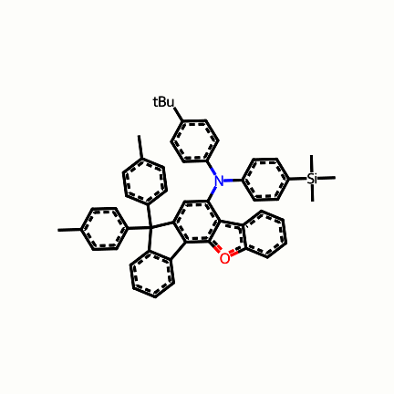 Cc1ccc(C2(c3ccc(C)cc3)c3ccccc3-c3c2cc(N(c2ccc(C(C)(C)C)cc2)c2ccc([Si](C)(C)C)cc2)c2c3oc3ccccc32)cc1